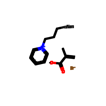 C=C(C)C([O])=O.CCCCCCCCCCCC[n+]1ccccc1.[Br-]